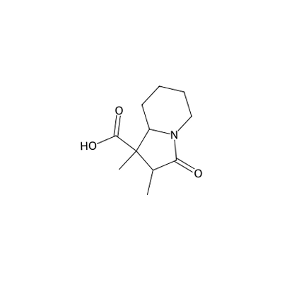 CC1C(=O)N2CCCCC2C1(C)C(=O)O